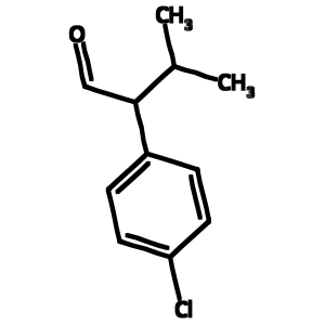 CC(C)C(C=O)c1ccc(Cl)cc1